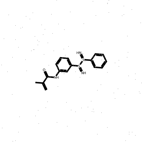 C=C(C)C(=O)Nc1cccc(S(=N)S(=N)c2ccccc2)c1